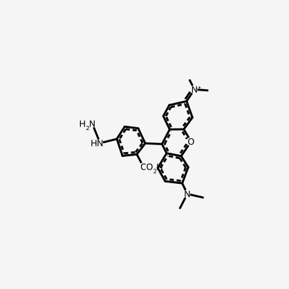 CN(C)c1ccc2c(-c3ccc(NN)cc3C(=O)O)c3ccc(=[N+](C)C)cc-3oc2c1